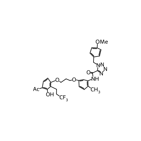 COc1ccc(Cn2nnnc2C(=O)Nc2cc(OCCCOc3ccc(C(C)=O)c(O)c3CCC(F)(F)F)ccc2C)cc1